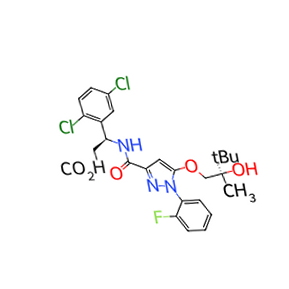 CC(C)(C)[C@@](C)(O)COc1cc(C(=O)N[C@@H](CC(=O)O)c2cc(Cl)ccc2Cl)nn1-c1ccccc1F